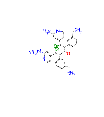 NCc1cccc(C(C(=O)C(c2cccc(CN)c2)C(Br)c2ccnc(N)c2)C(Br)c2ccnc(N)c2)c1